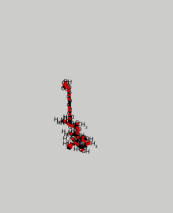 CCC[C@H](NC(=O)[C@@H](NC(=O)CNC(=O)[C@H](CCCNC(=N)N)NC(=O)CNC(=O)[C@H](CCC(C)C)NC(=O)CNC(=O)[C@H](CCCNC(=N)N)NC(=O)CNC(=O)CCOCCOCCOCCOCCOCCOCCC(=O)ON1C(=O)CC(S(=O)(=O)O)C1=O)[C@@H](C)O)C(=O)N[C@@H](CC(=O)O)C(=O)NCC(=O)N[C@@H](CCc1c[nH]c2ccccc12)C(=O)NCC(N)=O